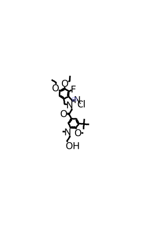 CCOc1cc2c(c(F)c1OCC)/C(=N/Cl)N(CC(=O)c1cc(N(C)CCO)c(OC)c(C(C)(C)C)c1)C2